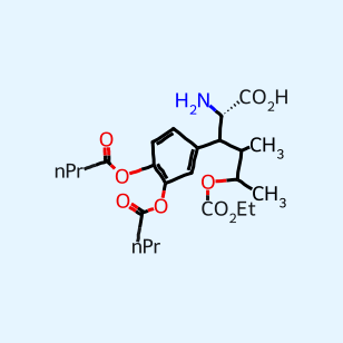 CCCC(=O)Oc1ccc(C(C(C)C(C)OC(=O)OCC)[C@H](N)C(=O)O)cc1OC(=O)CCC